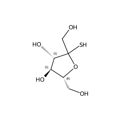 OC[C@H]1OC(S)(CO)[C@@H](O)[C@@H]1O